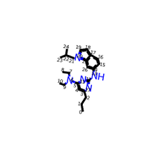 CCCc1cc(N(CC)CC)nc(Nc2ccc3ccn(CC(C)C)c3c2)n1